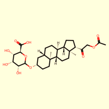 CC(=O)OCC(=O)[C@H]1CC[C@H]2[C@@H]3CC[C@H]4C[C@@H](OC5O[C@H](C(=O)O)[C@@H](O)[C@@H](O)[C@H]5O)CC[C@]4(C)[C@H]3CC[C@]12C